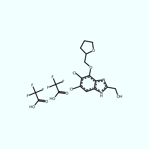 O=C(O)C(F)(F)F.O=C(O)C(F)(F)F.OCc1nc2c(OCC3CCCO3)c(Cl)c(Cl)cc2[nH]1